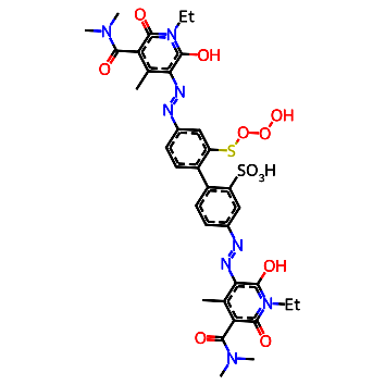 CCn1c(O)c(N=Nc2ccc(-c3ccc(N=Nc4c(C)c(C(=O)N(C)C)c(=O)n(CC)c4O)cc3S(=O)(=O)O)c(SOOO)c2)c(C)c(C(=O)N(C)C)c1=O